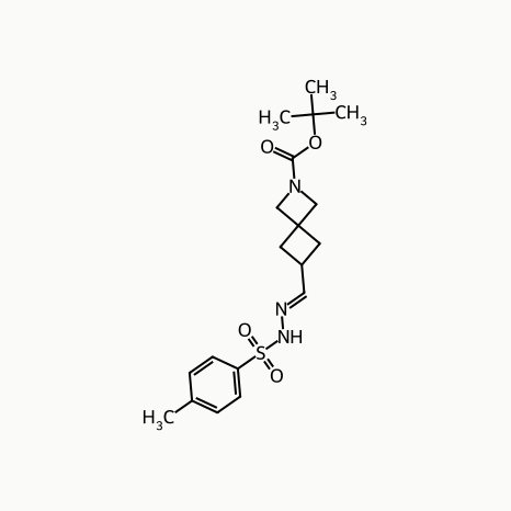 Cc1ccc(S(=O)(=O)N/N=C/C2CC3(C2)CN(C(=O)OC(C)(C)C)C3)cc1